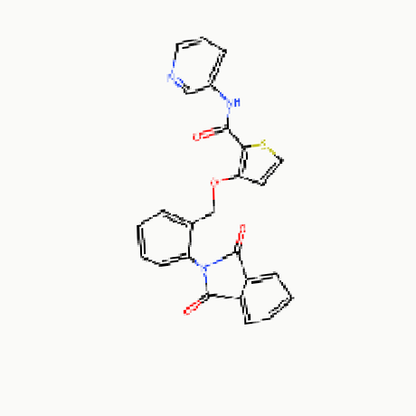 O=C(Nc1cccnc1)c1sccc1OCc1ccccc1N1C(=O)c2ccccc2C1=O